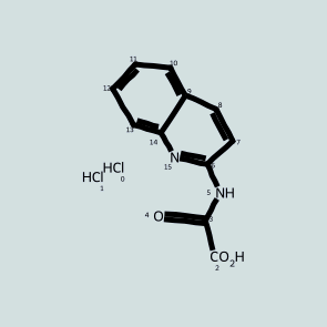 Cl.Cl.O=C(O)C(=O)Nc1ccc2ccccc2n1